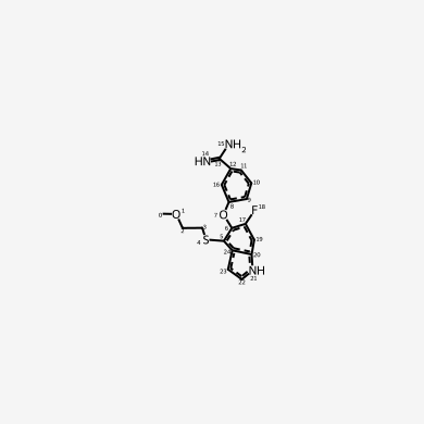 COCCSc1c(Oc2cccc(C(=N)N)c2)c(F)cc2[nH]ccc12